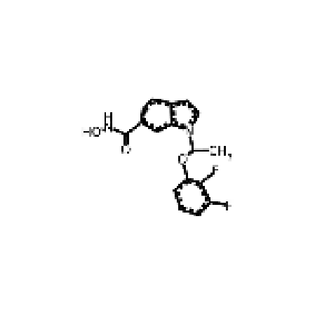 CC(Oc1cccc(F)c1F)n1ccc2ccc(C(=O)NO)cc21